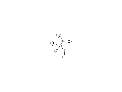 O=C(C(F)(F)F)C(Br)(CF)C(F)(F)F